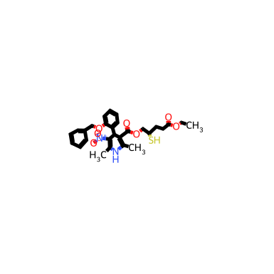 CCOC(=O)CCC(S)COC(=O)C1=C(C)NC(C)=C([N+](=O)[O-])C1c1ccccc1OCc1ccccc1